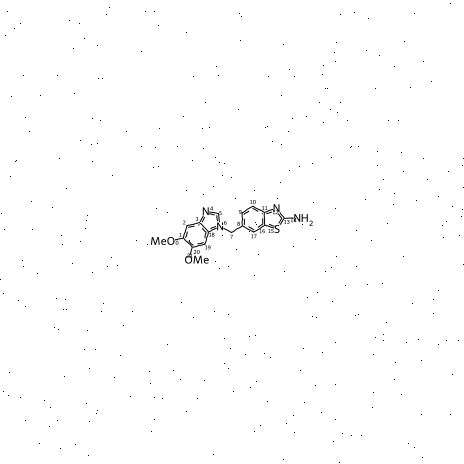 COc1cc2ncn(Cc3ccc4nc(N)sc4c3)c2cc1OC